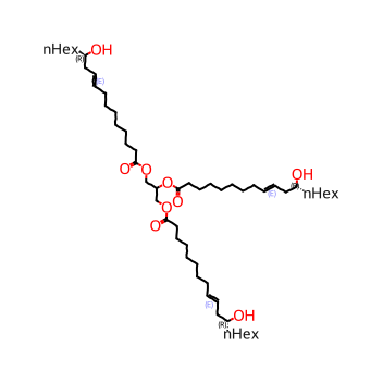 CCCCCC[C@@H](O)C/C=C/CCCCCCCC(=O)OCC(COC(=O)CCCCCCC/C=C/C[C@H](O)CCCCCC)OC(=O)CCCCCCC/C=C/C[C@H](O)CCCCCC